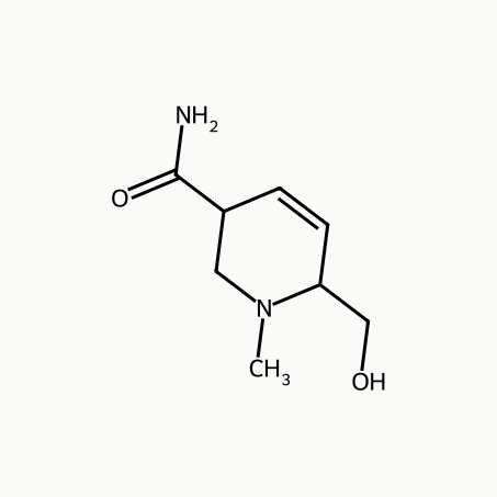 CN1CC(C(N)=O)C=CC1CO